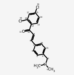 CN(C)Cc1ccc(C=CC(=O)c2ccc(Cl)cc2Cl)cc1